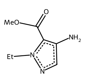 CCn1ncc(N)c1C(=O)OC